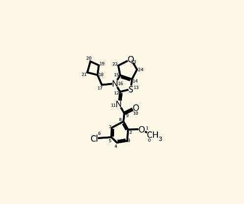 COc1ccc(Cl)cc1C(=O)/N=c1\sc2c(n1CC1CCC1)COC2